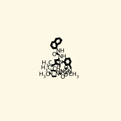 CN1CCN(C(=O)NS(=O)(=O)N(C)Cc2cccc(-n3nc(C(C)(C)C)cc3NC(=O)Nc3cccc4ccccc34)c2)CC1